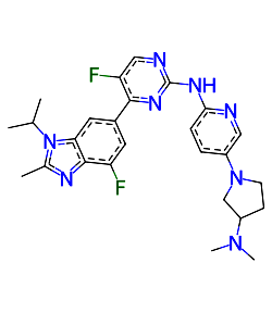 Cc1nc2c(F)cc(-c3nc(Nc4ccc(N5CCC(N(C)C)C5)cn4)ncc3F)cc2n1C(C)C